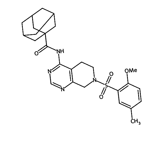 COc1ccc(C)cc1S(=O)(=O)N1CCc2c(ncnc2NC(=O)C23CC4CC(CC(C4)C2)C3)C1